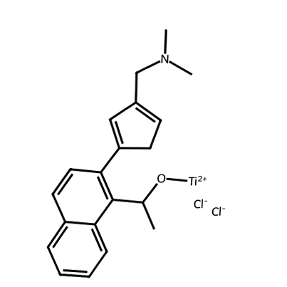 CC([O][Ti+2])c1c(C2=CC(CN(C)C)=CC2)ccc2ccccc12.[Cl-].[Cl-]